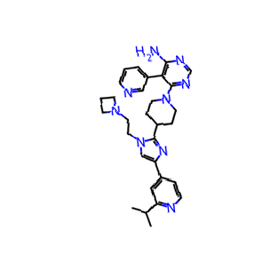 CC(C)c1cc(-c2cn(CCN3CCC3)c(C3CCN(c4ncnc(N)c4-c4cccnc4)CC3)n2)ccn1